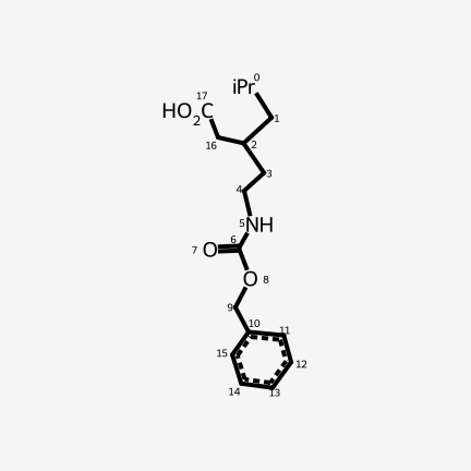 CC(C)CC(CCNC(=O)OCc1ccccc1)CC(=O)O